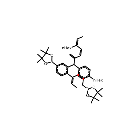 C=C(/C=C\C(=C/C)CCCCCC)C(c1ccc(CCCCCC)cc1)c1cc(B2OC(C)(C)C(C)(C)O2)ccc1C(/C=C\CB1OC(C)(C)C(C)(C)O1)=C/C